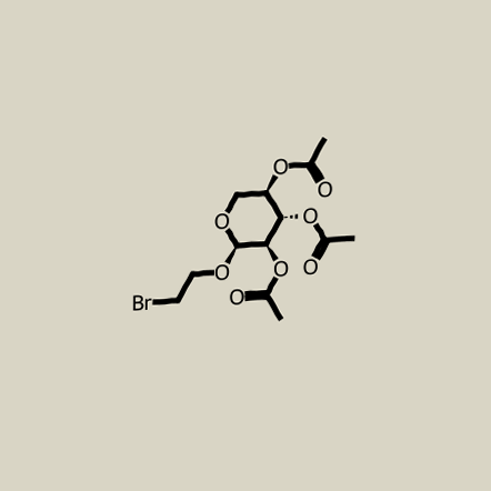 CC(=O)O[C@@H]1[C@@H](OC(C)=O)[C@@H](OCCBr)OC[C@H]1OC(C)=O